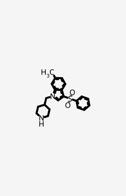 Cc1ccc2c(S(=O)(=O)c3ccccc3)cn(CC3CCNCC3)c2c1